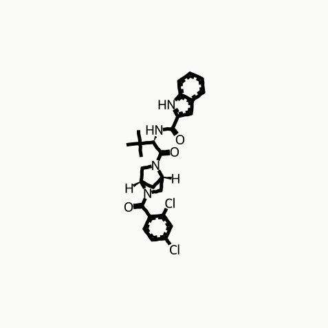 CC(C)(C)[C@H](NC(=O)c1cc2ccccc2[nH]1)C(=O)N1C[C@@H]2C[C@H]1CN2C(=O)c1ccc(Cl)cc1Cl